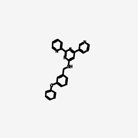 c1ccc(Oc2cccc(CNc3cc(-c4cccnc4)nc(-c4ccccn4)n3)c2)cc1